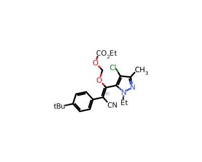 CCOC(=O)OCO/C(=C(/C#N)c1ccc(C(C)(C)C)cc1)c1c(Cl)c(C)nn1CC